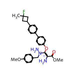 COC(=O)/C(N)=C(\Oc1ccc(-c2ccc(C3CC(C)(F)C3)cc2)cc1)N(N)Cc1ccc(OC)cc1